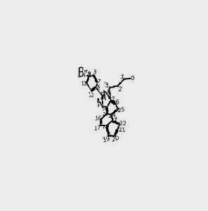 CCCCn1c(-c2ccc(Br)cc2)nc2c3ccc4ccccc4c3ccc21